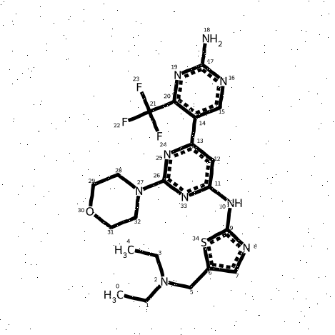 CCN(CC)Cc1cnc(Nc2cc(-c3cnc(N)nc3C(F)(F)F)nc(N3CCOCC3)n2)s1